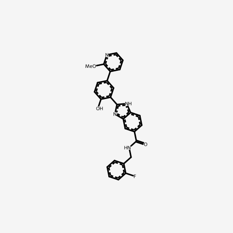 COc1ncccc1-c1ccc(O)c(-c2nc3cc(C(=O)NCc4ccccc4F)ccc3[nH]2)c1